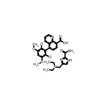 CCN(CC)Cc1c[nH]c(C(N)=O)n1.COc1cc(OC)c(Cl)c(-c2ccc(C(=O)O)c3ncccc23)c1Cl